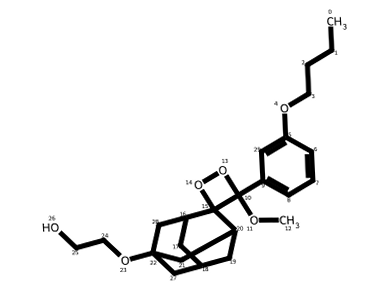 CCCCOc1cccc(C2(OC)OOC23C2CC4CC3CC(OCCO)(C4)C2)c1